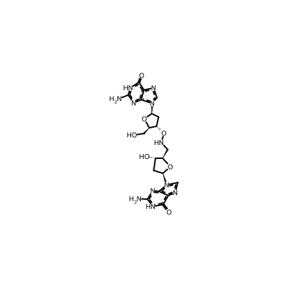 Nc1nc2c(ncn2[C@H]2C[C@H](ONC[C@H]3O[C@@H](n4cnc5c(=O)[nH]c(N)nc54)C[C@@H]3O)[C@@H](CO)O2)c(=O)[nH]1